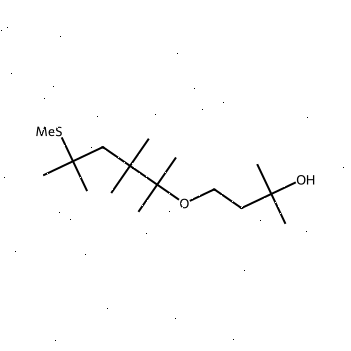 CSC(C)(C)CC(C)(C)C(C)(C)OCCC(C)(C)O